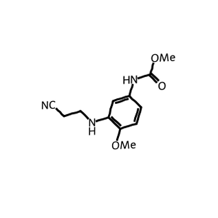 COC(=O)Nc1ccc(OC)c(NCCC#N)c1